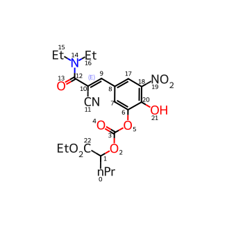 CCCC(OC(=O)Oc1cc(/C=C(\C#N)C(=O)N(CC)CC)cc([N+](=O)[O-])c1O)C(=O)OCC